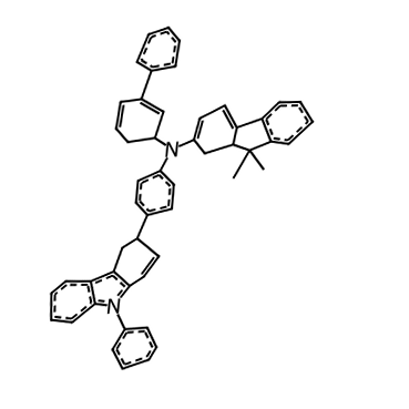 CC1(C)c2ccccc2C2=CC=C(N(c3ccc(C4C=Cc5c(c6ccccc6n5-c5ccccc5)C4)cc3)C3C=C(c4ccccc4)C=CC3)CC21